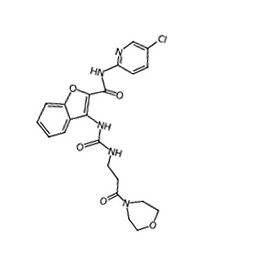 O=C(NCCC(=O)N1CCOCC1)Nc1c(C(=O)Nc2ccc(Cl)cn2)oc2ccccc12